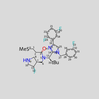 CSCCC(=O)N(C[C@@H]1CNC[C@@H]1F)[C@@H](c1nc(-c2cc(F)ccc2F)cn1Cc1cccc(F)c1)C(C)(C)C